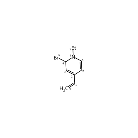 C=CC1=CC(Br)N(CC)C=C1